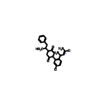 N/C(Cl)=C\N(N)c1ccc(Cl)cc1N1CC(=O)N(C(Cc2ccccc2)C(=O)O)CC1=O